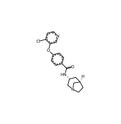 O=C(N[C@@H]1C[C@H]2CCN(C2)C1)c1ccc(Oc2cnccc2Cl)cc1